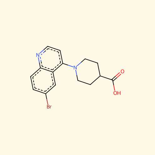 O=C(O)C1CCN(c2ccnc3ccc(Br)cc23)CC1